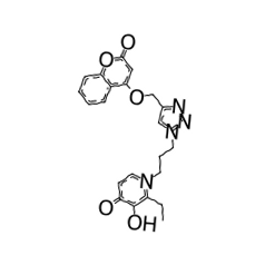 CCc1c(O)c(=O)ccn1CCCn1cc(COc2cc(=O)oc3ccccc23)nn1